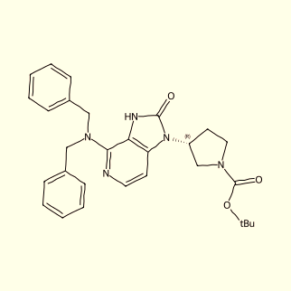 CC(C)(C)OC(=O)N1CC[C@@H](n2c(=O)[nH]c3c(N(Cc4ccccc4)Cc4ccccc4)nccc32)C1